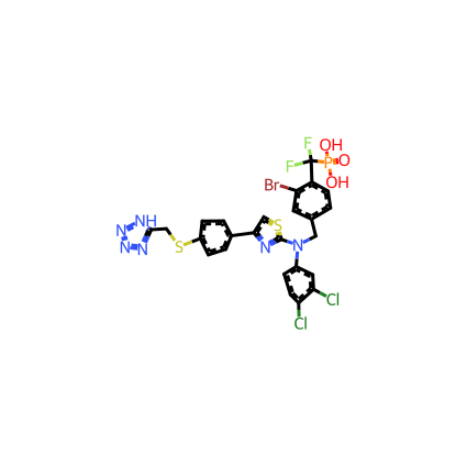 O=P(O)(O)C(F)(F)c1ccc(CN(c2ccc(Cl)c(Cl)c2)c2nc(-c3ccc(SCc4nnn[nH]4)cc3)cs2)cc1Br